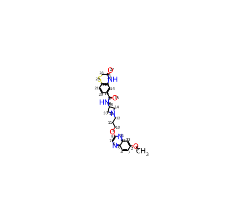 COc1ccc2ncc(OCCCN3CC(NC(=O)c4ccc5c(c4)NC(=O)CS5)C3)nc2c1